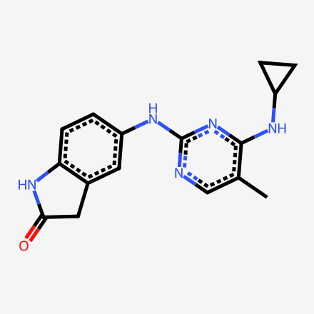 Cc1cnc(Nc2ccc3c(c2)CC(=O)N3)nc1NC1CC1